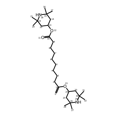 C=C(CCCCCCCCC(=O)OC1CC(C)(C)NC(C)(C)C1)OC1CC(C)(C)NC(C)(C)C1